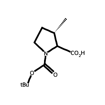 C[C@H]1CCN(C(=O)OC(C)(C)C)C1C(=O)O